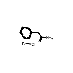 NC(=O)Cc1ccccc1.[Cl][Pd]